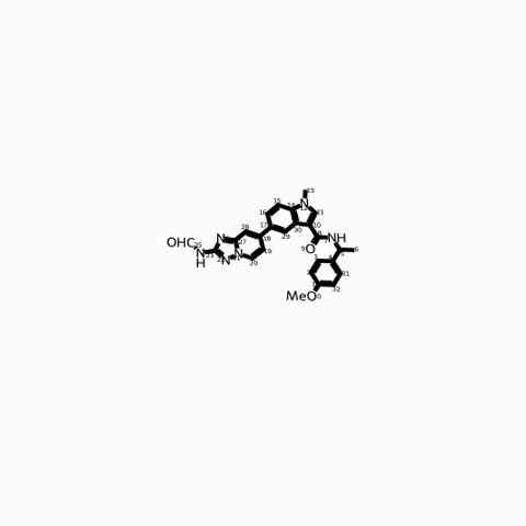 COc1ccc(C(C)NC(=O)c2cn(C)c3ccc(-c4ccn5nc(NC=O)nc5c4)cc23)cc1